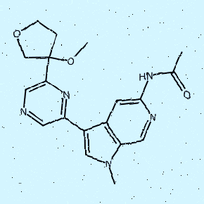 COC1(c2cncc(-c3cn(C)c4cnc(NC(C)=O)cc34)n2)CCOC1